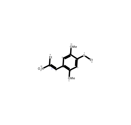 CCSc1cc(OC)c(/C=C(\CC)[N+](=O)[O-])cc1OC